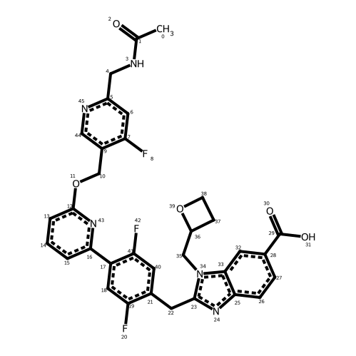 CC(=O)NCc1cc(F)c(COc2cccc(-c3cc(F)c(Cc4nc5ccc(C(=O)O)cc5n4CC4CCO4)cc3F)n2)cn1